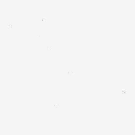 O=c1oc2c(OCCCBr)c3occc3cc2cc1Br